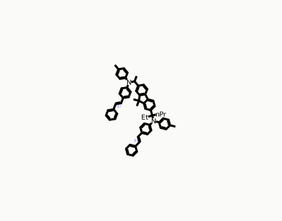 CCCC(CC)(c1ccc2c(c1)C(C)(C)c1cc(C(C)N(c3ccc(C)cc3)c3ccc(/C=C/c4ccccc4)cc3)ccc1-2)N(c1ccc(C)cc1)c1ccc(/C=C/c2ccccc2)cc1